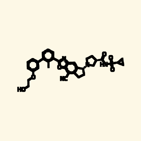 Cc1c(-c2cccc(OCCO)c2)cccc1-c1nc2cc3c(c(C#N)c2o1)CC[C@H]3N1CC[C@@H](C(=O)NS(=O)(=O)C2CC2)C1